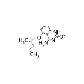 CCCC(C)COc1cccc2c1C(N)=N[S+]([O-])N2